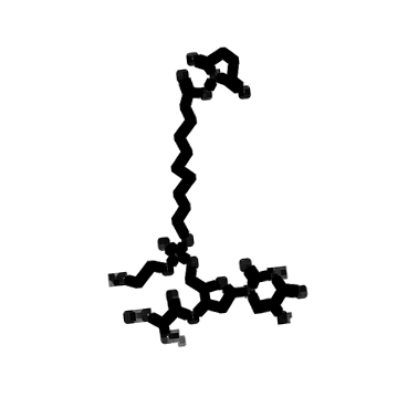 CC(C=O)C(=O)OC1CC(n2cc(Br)c(=O)[nH]c2=O)OC1COP(=O)(OCCC#N)OCCCCCCCCCC(=O)ON1C(=O)CCC1=O